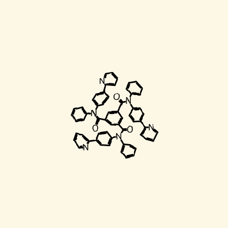 O=C(c1cc(C(=O)N(c2ccccc2)c2ccc(-c3ccccn3)cc2)cc(C(=O)N(c2ccccc2)c2ccc(-c3ccccn3)cc2)c1)N(c1ccccc1)c1ccc(-c2ccccn2)cc1